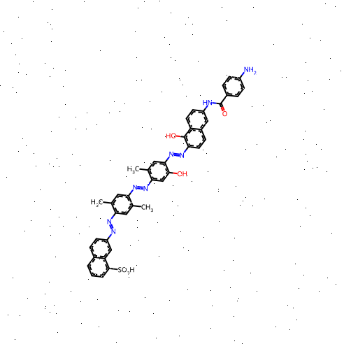 Cc1cc(N=Nc2cc(O)c(N=Nc3ccc4cc(NC(=O)c5ccc(N)cc5)ccc4c3O)cc2C)c(C)cc1N=Nc1ccc2cccc(S(=O)(=O)O)c2c1